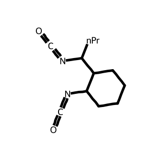 CCCC(N=C=O)C1CCCCC1N=C=O